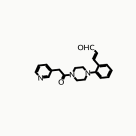 O=C/C=C/c1ccccc1N1CCN(C(=O)Cc2cccnc2)CC1